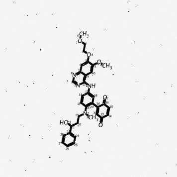 COCCOc1cc2ncnc(Nc3ccc(N(C)CCC(O)c4ccccc4)c(C4=CC(=O)C=CC4=O)c3)c2cc1OC